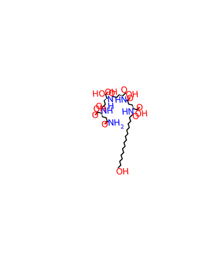 NC(=O)CC[C@H](NC(=O)CC[C@H](NC(=O)CC[C@H](NC(=O)CC[C@H](NC(=O)CCCCCCCCCCCCCCCCCO)C(=O)O)C(=O)O)C(O)O)C(=O)O